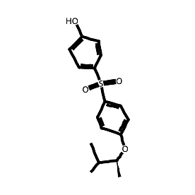 CC(C)[C@H](C)Oc1ccc(S(=O)(=O)c2ccc(O)cc2)cc1